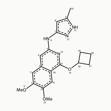 COc1cc2cc(Nc3cc(C)[nH]n3)nc(OC3CCC3)c2cc1OC